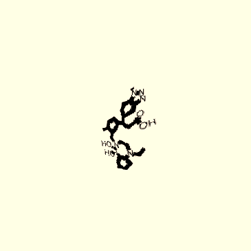 CCN1CCN(Cc2cc(C(CC(=O)O)c3ccc4c(c3)nnn4C)ccc2C)S(O)(O)c2ccccc21